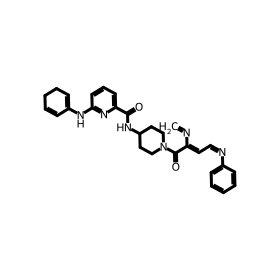 C=N/C(=C\C=N/c1ccccc1)C(=O)N1CCC(NC(=O)c2cccc(NC3=CCCC=C3)n2)CC1